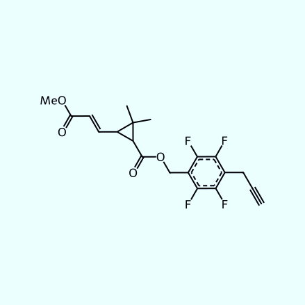 C#CCc1c(F)c(F)c(COC(=O)C2C(C=CC(=O)OC)C2(C)C)c(F)c1F